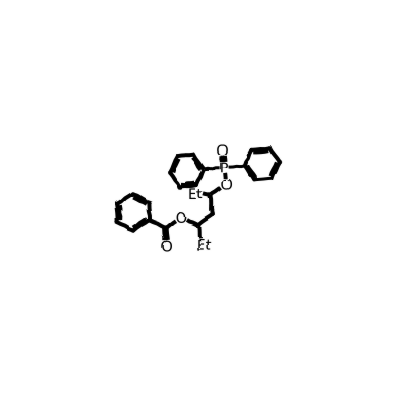 CCC(CC(CC)OP(=O)(c1ccccc1)c1ccccc1)OC(=O)c1ccccc1